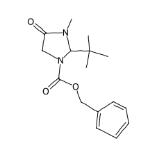 CN1C(=O)CN(C(=O)OCc2ccccc2)C1C(C)(C)C